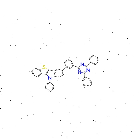 c1ccc(-c2nc(-c3ccccc3)nc(-c3cccc(-c4ccc5c(c4)c4sc6ccccc6c4n5-c4ccccc4)c3)n2)cc1